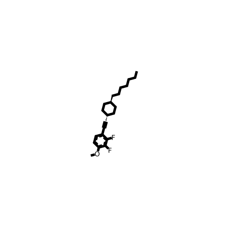 CCCCCCC[C@H]1CC[C@H](C#Cc2ccc(OC)c(F)c2F)CC1